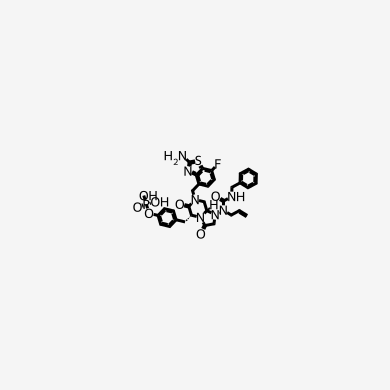 C=CCN(C(=O)NCc1ccccc1)N1CC(=O)N2[C@H](Cc3ccc(OP(=O)(O)O)cc3)C(=O)N(Cc3ccc(F)c4sc(N)nc34)C[C@@H]21